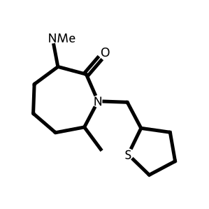 CNC1CCCC(C)N(CC2CCCS2)C1=O